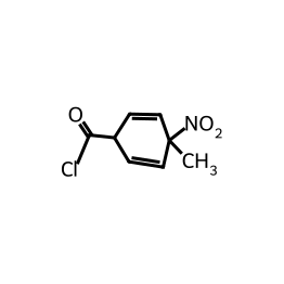 CC1([N+](=O)[O-])C=CC(C(=O)Cl)C=C1